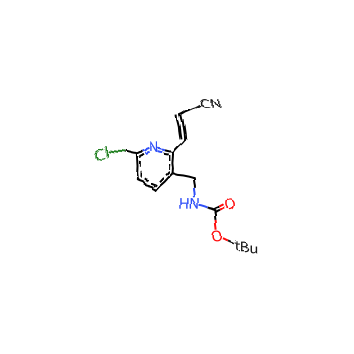 CC(C)(C)OC(=O)NCc1ccc(Cl)nc1/C=C/C#N